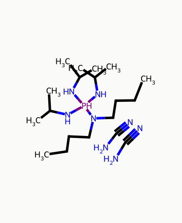 CCCCN(CCCC)[PH](NC(C)C)(NC(C)C)NC(C)C.N#CN.N#CN